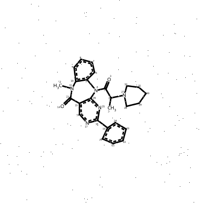 CC(C(=O)N1c2ccccc2N(C)C(=O)c2cnc(-c3ccccc3)nc21)N1CCCCC1